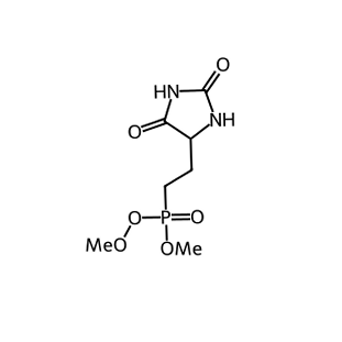 COOP(=O)(CCC1NC(=O)NC1=O)OC